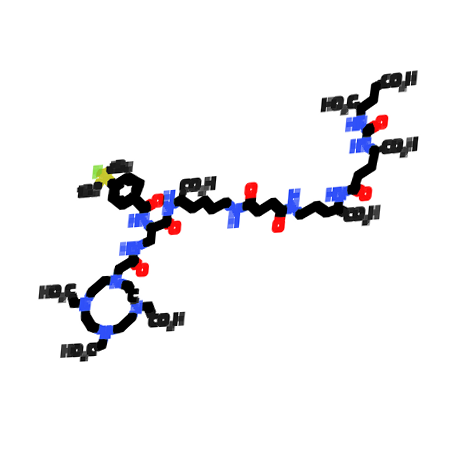 CC(C)(C)S(F)(c1ccc(C(=O)NC(CNC(=O)CN2CCN(CC(=O)O)CCN(CC(=O)O)CCN(CC(=O)O)CC2)C(=O)N[C@H](CCCCNC(=O)CCC(=O)NCCCC(NC(=O)CC[C@H](NC(=O)N[C@@H](CCC(=O)O)C(=O)O)C(=O)O)C(=O)O)C(=O)O)cc1)C(C)(C)C